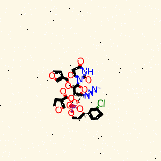 [N-]=[N+]=N[C@]1(COP2(=O)OCC[C@@H](c3cccc(Cl)c3)O2)OC(n2ccc(=O)[nH]c2=O)[C@H](OC(=O)c2ccoc2)[C@@H]1OC(=O)C1=COCC1